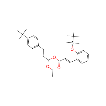 CCOC(CCc1ccc(C(C)(C)C)cc1)OC(=O)C=Cc1ccccc1O[Si](C)(C)C(C)(C)C